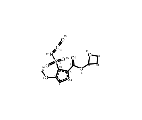 COc1csc(C(=O)OC2CCO2)c1S(=O)(=O)N=C=O